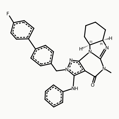 CN1C(=O)c2c(nn(Cc3ccc(-c4ccc(F)cc4)cc3)c2Nc2ccccc2)N2C1=N[C@@H]1CCCC[C@@H]12